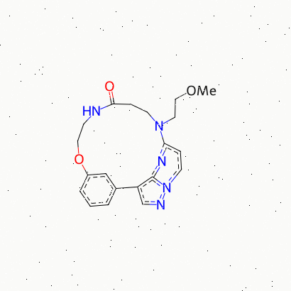 COCCN1CCC(=O)NCCOc2cccc(c2)-c2cnn3ccc1nc23